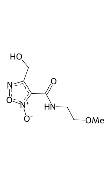 COCCNC(=O)c1c(CO)no[n+]1[O-]